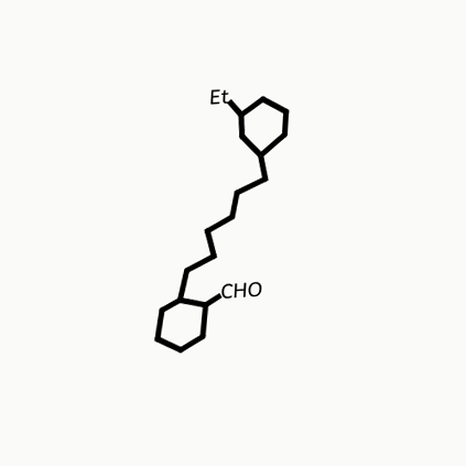 CCC1CCCC(CCCCCCC2CCCCC2C=O)C1